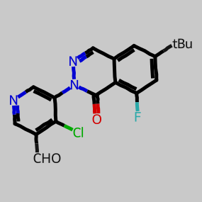 CC(C)(C)c1cc(F)c2c(=O)n(-c3cncc(C=O)c3Cl)ncc2c1